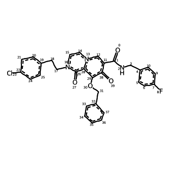 O=C(NCc1ccc(F)cc1)c1cn2ccn(CCc3ccc(Cl)cc3)c(=O)c2c(OCc2ccccc2)c1=O